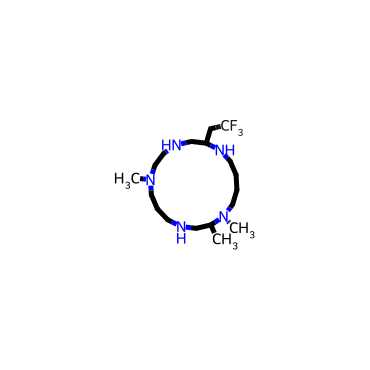 CC1CNCCCN(C)CCNCC(CC(F)(F)F)NCCCCN1C